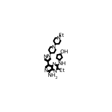 CCc1nc2c(N)ncc(-c3cnn(C4CCN(C5CCN(CC)CC5)CC4)c3)c2nc1N[C@@H]1CC[C@H](O)C1